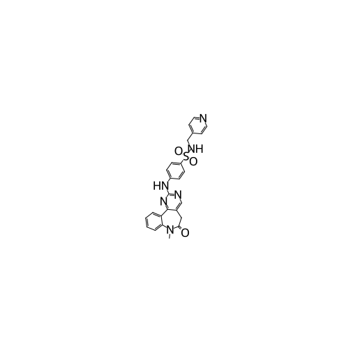 CN1C(=O)Cc2cnc(Nc3ccc(S(=O)(=O)NCc4ccncc4)cc3)nc2-c2ccccc21